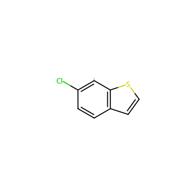 Clc1[c]c2sccc2cc1